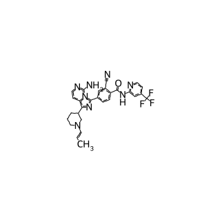 CC=CN1CCCC(c2nc(-c3ccc(C(=O)Nc4cc(C(F)(F)F)ccn4)c(C#N)c3)n3c(N)nccc23)C1